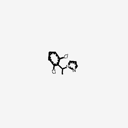 CC(c1c(Cl)cccc1Cl)n1cccn1